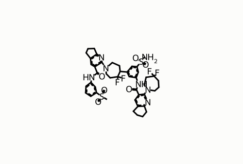 CS(=O)(=O)c1cccc(NC(=O)c2cc3c(nc2N2CCC(c4cc(NC(=O)c5cc6c(nc5N5CCCC(F)(F)CC5)CCCC6)cc(S(N)(=O)=O)c4)C(F)(F)CC2)CCC3)c1